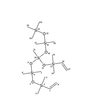 C=C[Si](C)(C)O[Si](C)(C)O[Si](C)(O[Si](C)(C)C=C)O[Si](C)(C)O[Si](C)(C)C